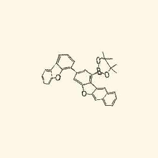 CC1(C)OB(c2cc(-c3cccc4c3oc3ccccc34)cc3oc4cc5ccccc5cc4c23)OC1(C)C